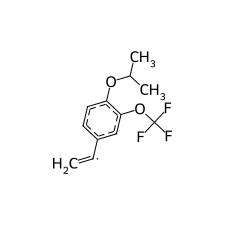 C=[C]c1ccc(OC(C)C)c(OC(F)(F)F)c1